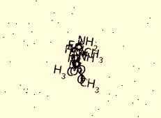 COCCOc1cc2c(N[C@H](C)c3cc(N)cc(C(F)(F)F)c3)ncnc2nc1OC